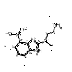 CN(CCN)c1nc2c([N+](=O)[O-])cccc2[nH]1